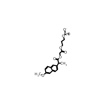 COc1ccc2cc(C(C)C(=O)OCC(=O)OCCCO[N+](=O)[O-])ccc2c1